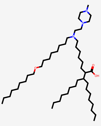 CCCCCCCCCOCCCCCCCCN(CCCCCCC(C(=O)O)C(CCCCCCCC)CCCCCCCC)CCN1CCN(C)CC1